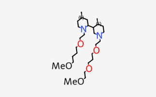 COCCCCOCCN1CC[C@@H](C)CC1C1CN(CCOCCCOCCOC)CC[C@@H]1C